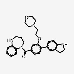 O=C(c1ccc(-c2ccc3c(c2)CCN3)c(OCCN2CCOCC2)c1)N1CCCNc2ccccc21